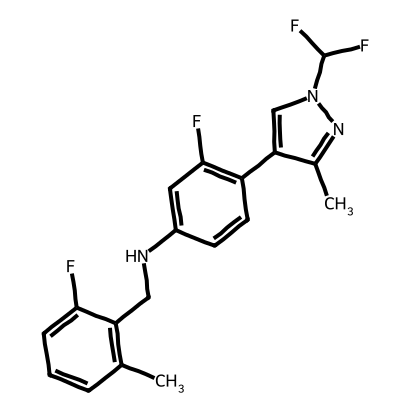 Cc1cccc(F)c1CNc1ccc(-c2cn(C(F)F)nc2C)c(F)c1